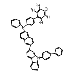 [2H]c1c([2H])c([2H])c(-c2ccc(N(c3ccccc3)c3ccc4cc(-c5ccc6c7ccccc7n(-c7ccc(-c8ccccc8)cc7)c6c5)ccc4c3)cc2)c([2H])c1[2H]